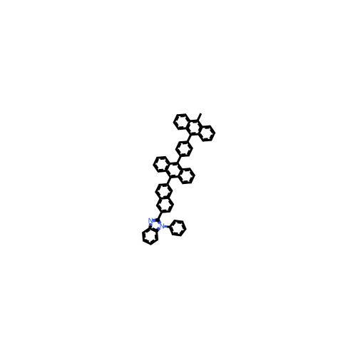 Cc1c2ccccc2c(-c2ccc(-c3c4ccccc4c(-c4ccc5cc(-c6nc7ccccc7n6-c6ccccc6)ccc5c4)c4ccccc34)cc2)c2ccccc12